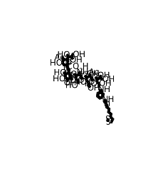 CC(=O)NC1C(OC2C(O)C(CO)OC(OC(C(O)CO)C(O)C(O)CNc3cccc(NCOCCCCC4CCSS4)c3)C2O)OC(CO)C(OC2OC(COC3(C(=O)O)CC(O)C(C(C)=O)C(C(O)C(O)CO)O3)C(O)C(O)C2O)C1O